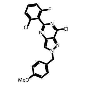 COc1ccc(Cn2cc3nc(-c4c(F)cccc4Cl)nc(Cl)c3n2)cc1